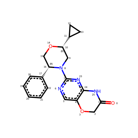 O=C1COc2cnc(N3C[C@@H](C4CC4)OC[C@H]3c3ccccc3)nc2N1